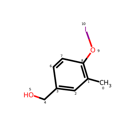 Cc1cc(CO)ccc1OI